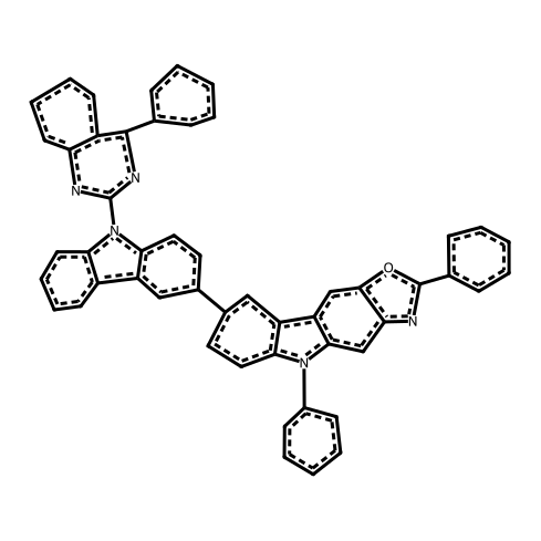 c1ccc(-c2nc3cc4c(cc3o2)c2cc(-c3ccc5c(c3)c3ccccc3n5-c3nc(-c5ccccc5)c5ccccc5n3)ccc2n4-c2ccccc2)cc1